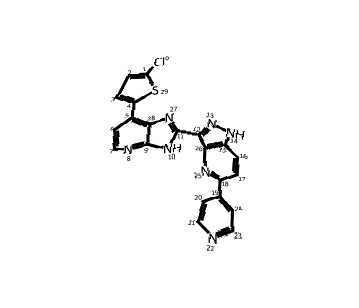 Clc1ccc(-c2ccnc3[nH]c(-c4n[nH]c5ccc(-c6ccncc6)nc45)nc23)s1